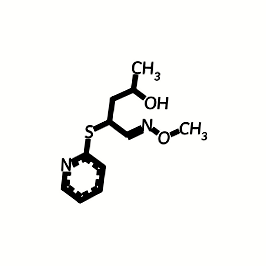 CON=CC(CC(C)O)Sc1ccccn1